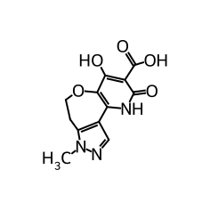 Cn1ncc2c1CCOc1c-2[nH]c(=O)c(C(=O)O)c1O